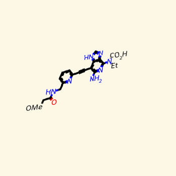 CCN(C(=O)O)c1nc(N)c(C#Cc2cccc(CNC(=O)COC)n2)c2[nH]cnc12